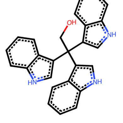 OCC(c1c[nH]c2ccccc12)(c1c[nH]c2ccccc12)c1c[nH]c2ccccc12